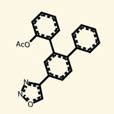 CC(=O)Oc1ccccc1-c1cc(-c2conn2)ccc1-c1ccccc1